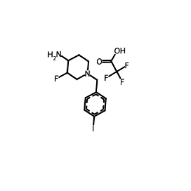 NC1CCN(Cc2ccc(I)cc2)CC1F.O=C(O)C(F)(F)F